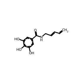 C=CC=CCNC(=O)c1cc(O)c(O)c(O)c1